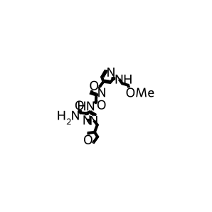 COCCNc1cc(-c2nc(C(=O)Nc3cn(CC4CCOC4)nc3C(N)=O)co2)ccn1